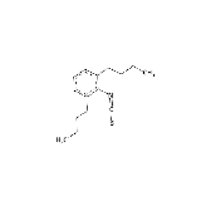 CCCCc1cccc(CCCC)c1N=C=S